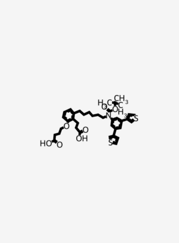 CC(C)(C)OC(=O)N(CCCCCCc1cccc(OCCCC(=O)O)c1CCC(=O)O)c1cc(-c2ccsc2)cc(-c2ccsc2)c1